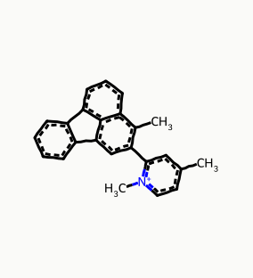 Cc1cc[n+](C)c(-c2cc3c4c(cccc4c2C)-c2ccccc2-3)c1